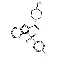 CN1CCN(C(=O)c2cc3ccccc3n2S(=O)(=O)c2ccc(F)cc2)CC1